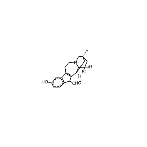 CC[C@H]1C[C@H]2C[C@H]3C4=C(CCN(C2)C13)c1cc(O)ccc1C4C=O